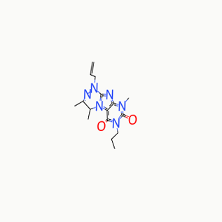 C=CCN1N=C(C)C(C)n2c1nc1c2c(=O)n(CCC)c(=O)n1C